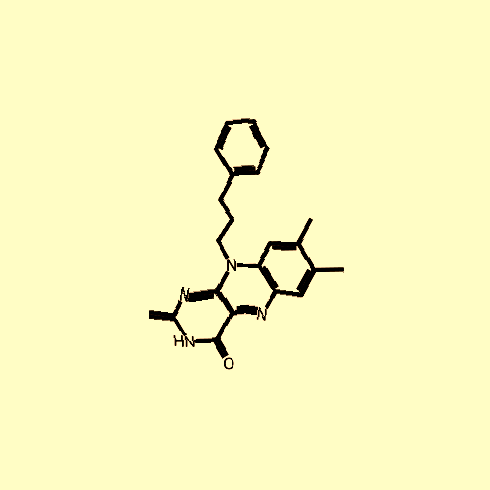 C=c1nc2c(c(=O)[nH]1)=Nc1cc(C)c(C)cc1N2CCCc1ccccc1